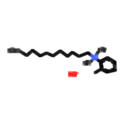 CCCCCCCCCCCCCCCCCCCC[N+](CCC)(CCC)c1ccccc1C.[OH-]